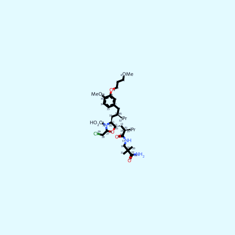 COCCCOc1cc(C[C@H](C[C@H]2[C@H](C[C@H](C(=O)NCC(C)(C)C(N)=O)C(C)C)OC(CCl)N2C(=O)O)C(C)C)ccc1OC